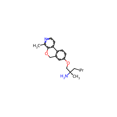 Cc1nccc2c1OCc1cc(OC[C@@](C)(N)CC(C)C)ccc1-2